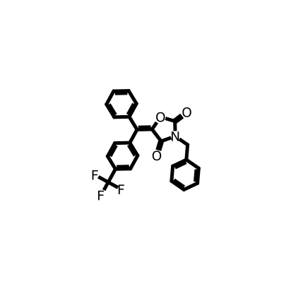 O=C1OC(=C(c2ccccc2)c2ccc(C(F)(F)F)cc2)C(=O)N1Cc1ccccc1